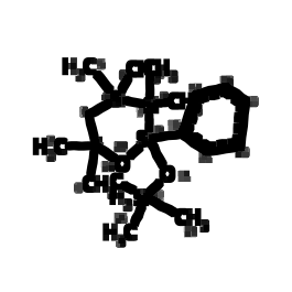 CC1(C)C[Si](C)(C)[Si](C)(C)[Si](O[Si](C)(C)C)(c2ccccc2)O1